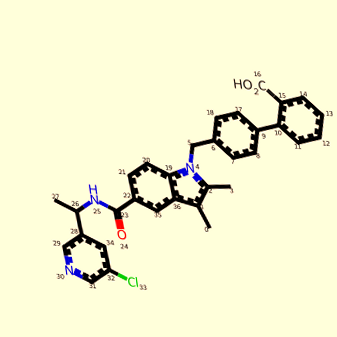 Cc1c(C)n(Cc2ccc(-c3ccccc3C(=O)O)cc2)c2ccc(C(=O)NC(C)c3cncc(Cl)c3)cc12